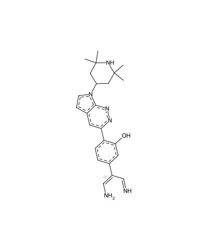 CC1(C)CC(n2ccc3cc(-c4ccc(/C(C=N)=C/N)cc4O)nnc32)CC(C)(C)N1